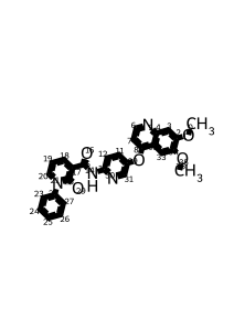 COc1cc2nccc(Oc3ccc(NC(=O)c4cccn(-c5ccccc5)c4=O)nc3)c2cc1OC